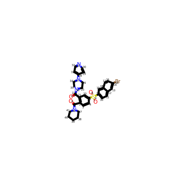 O=C(c1ccc(S(=O)(=O)c2ccc3cc(Br)ccc3c2)cc1C(=O)N1CCN(c2ccncc2)CC1)N1CCCCC1